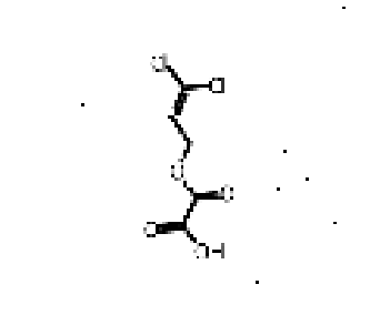 O=C(O)C(=O)OCC=C(Cl)Cl